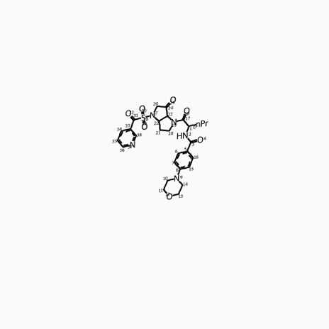 CCCC(NC(=O)c1ccc(N2CCOCC2)cc1)C(=O)N1CCC2C1C(=O)CN2S(=O)(=O)C(=O)c1cccnc1